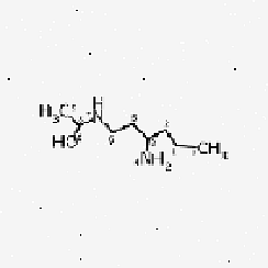 CCCC(N)CCNC(C)O